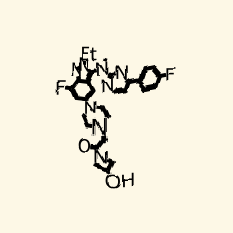 CCn1nc2c(F)cc(N3CCN(CC(=O)N4CC(O)C4)CC3)cc2c1N(C)c1nccc(-c2ccc(F)cc2)n1